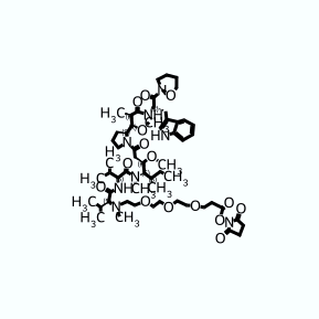 CC[C@H](C)[C@@H]([C@@H](CC(=O)N1CCC[C@H]1[C@H](OC)[C@@H](C)C(=O)N[C@@H](Cc1c[nH]c2ccccc12)C(=O)N1CCCCO1)OC)N(C)C(=O)[C@@H](NC(=O)[C@H](C(C)C)N(C)CCOCCOCCOCCC(=O)ON1C(=O)CCC1=O)C(C)C